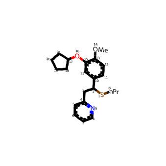 CCCSC(Cc1ccccn1)c1ccc(OC)c(OC2CCCC2)c1